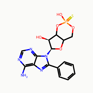 Nc1ncnc2c1nc(-c1ccccc1)n2[C@@H]1OC2COP(O)(=S)OC2[C@@H]1O